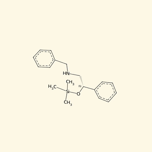 C[Si](C)(C)O[C@H](CNCc1ccccc1)c1ccccc1